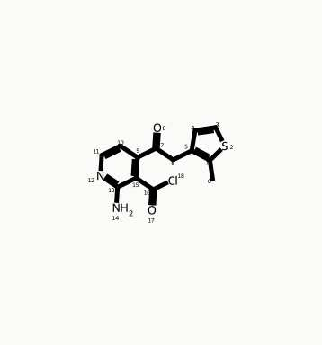 Cc1sccc1CC(=O)c1ccnc(N)c1C(=O)Cl